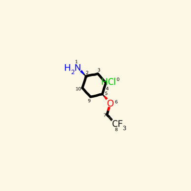 Cl.N[C@H]1CC[C@@H](OCC(F)(F)F)CC1